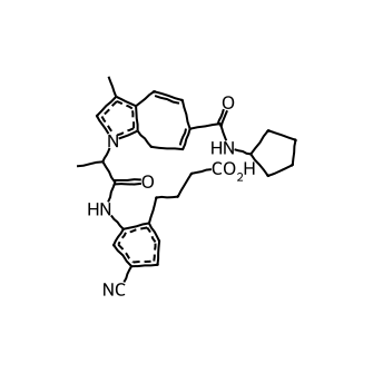 Cc1cn(C(C)C(=O)Nc2cc(C#N)ccc2CCCC(=O)O)c2c1C=CC(C(=O)NC1CCCC1)=CC2